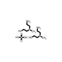 CN(CCN)CCO.CN(CCN)CCO.O=S(=O)(O)O